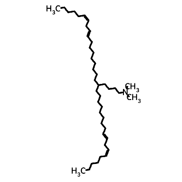 CCCCC/C=C\CC=CCCCCCCCCC(CCCCCCCCC=CC/C=C\CCCCC)CCCCN(C)C